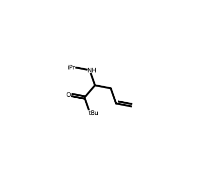 C=CCC(NC(C)C)C(=O)C(C)(C)C